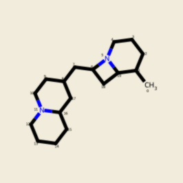 CC1CCCN2C(CC3CCN4CCCCC4C3)CC12